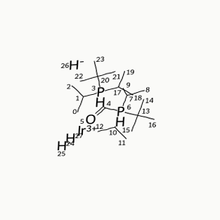 CC(C)[PH](C(=O)[PH](C(C)C)(C(C)C)C(C)(C)C)(C(C)C)C(C)(C)C.[H-].[H-].[H-].[Ir+3]